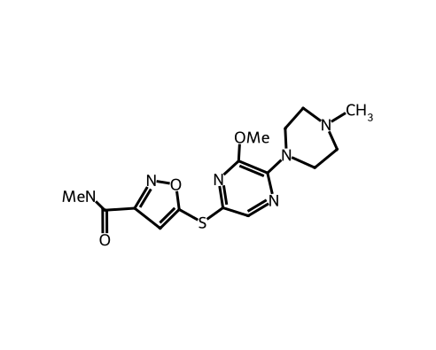 CNC(=O)c1cc(Sc2cnc(N3CCN(C)CC3)c(OC)n2)on1